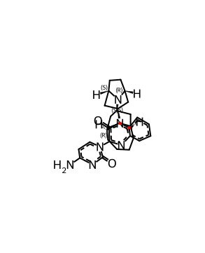 Nc1ccn(-c2nc3ccccc3n([C@@H]3C[C@H]4CC[C@@H](C3)N4[C@@H]3C[C@@H]4CCCC[C@@H](C4)C3)c2=O)c(=O)n1